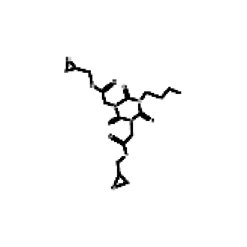 CCCCn1c(=O)n(CC(=O)OCC2CO2)c(=O)n(CC(=O)OCC2CO2)c1=O